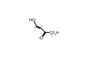 O=C(O)C(=O)C=CO